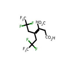 O=C(O)CC(C(=O)O)=C(CC(F)(F)C(F)(F)F)CC(F)(F)C(F)(F)F